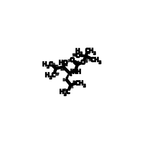 CC(C)C[C@@H](NC(=O)OC(C)(C)C)C(O)C(C)C